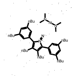 CCCCC1=C(c2cc(CCCC)cc(CCCC)c2)[N+](=[N-])C(c2cc(CCCC)cc(CCCC)c2)=C1CCCC.C[N](C)[Ni][N](C)C